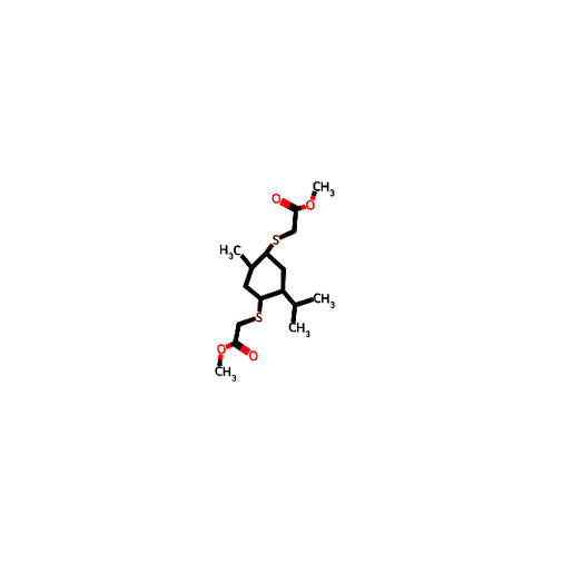 COC(=O)CSC1CC(C(C)C)C(SCC(=O)OC)CC1C